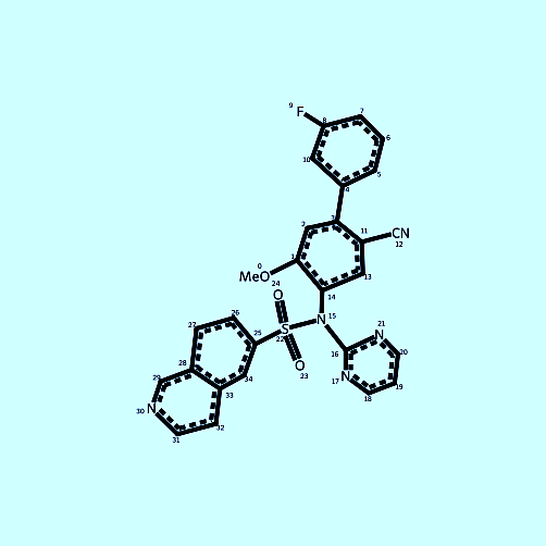 COc1cc(-c2cccc(F)c2)c(C#N)cc1N(c1ncccn1)S(=O)(=O)c1ccc2cnccc2c1